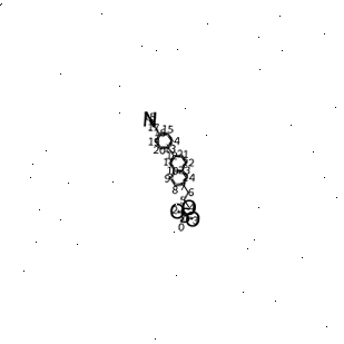 CS(=O)(=O)OCCc1ccc2cc(-c3ccc(C#N)cc3)ccc2c1